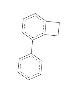 c1ccc(-c2cccc3c2CC3)cc1